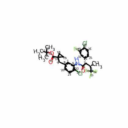 C[C@H]([C@H](C(=O)Nc1cc(CC2(C(=O)OC(C)(C)C)CC2)ccc1Cl)c1ccc(Cl)c(F)c1)C(F)(F)F